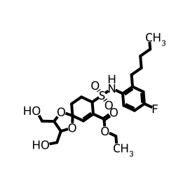 CCCCCc1cc(F)ccc1NS(=O)(=O)C1CCC2(C=C1C(=O)OCC)OC(CO)C(CO)O2